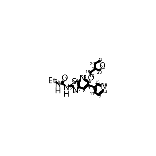 CCNC(=O)Nc1nc2cc(-c3cccnc3)c(OCC3CCOC3)nc2s1